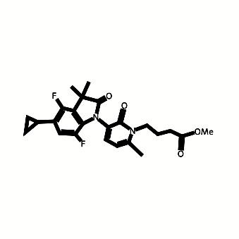 COC(=O)CCCn1c(C)ccc(N2C(=O)C(C)(C)c3c(F)c(C4CC4)cc(F)c32)c1=O